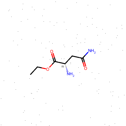 CCOC(=O)[C@@H](N)CC(N)=O